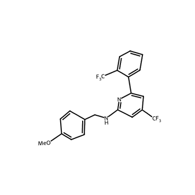 COc1ccc(CNc2cc(C(F)(F)F)cc(-c3ccccc3C(F)(F)F)n2)cc1